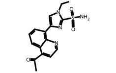 CCn1cc(-c2cccc3c(C(C)=O)ccnc23)nc1S(N)(=O)=O